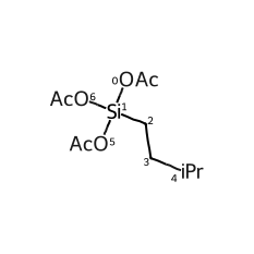 CC(=O)O[Si](CCC(C)C)(OC(C)=O)OC(C)=O